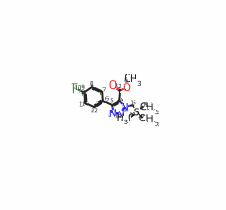 COC(=O)c1c(-c2ccc(F)cc2)nnn1C[Si](C)(C)C